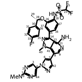 CNc1ncc(-n2cc(-c3cnc(N)c4c(-c5ccc(NS(=O)(=O)C(F)F)c(O[C@@H](C)c6ccc(F)cc6)c5)nn(C)c34)cn2)cn1